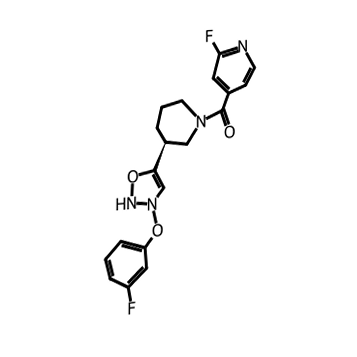 O=C(c1ccnc(F)c1)N1CCC[C@H](C2=CN(Oc3cccc(F)c3)NO2)C1